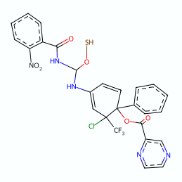 O=C(OC1(c2ccccc2)C=CC(NC(NC(=O)c2ccccc2[N+](=O)[O-])OS)=CC1(Cl)C(F)(F)F)c1cnccn1